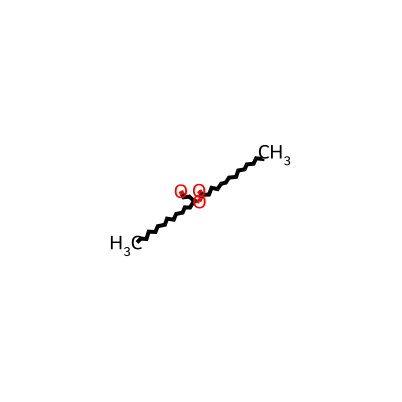 CCCCCCCCCCCCCCC(=O)OC(CC=O)CCCCCCCCCCCCC